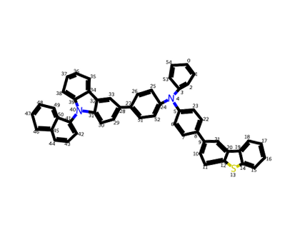 c1ccc(N(c2ccc(-c3ccc4sc5ccccc5c4c3)cc2)c2ccc(-c3ccc4c(c3)c3ccccc3n4-c3cccc4ccccc34)cc2)cc1